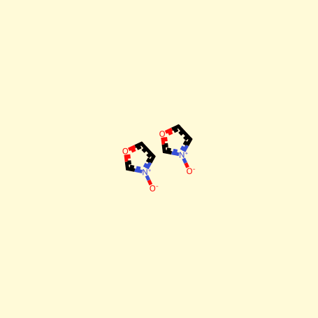 [O-][n+]1ccoc1.[O-][n+]1ccoc1